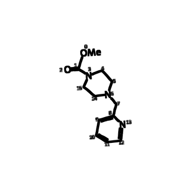 COC(=O)N1CCN(Cc2ccccn2)CC1